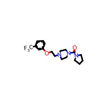 O=C(N1CCCC1)N1CCN(CCOc2cccc(C(F)(F)F)c2)CC1